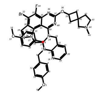 COc1ccc(CN(Cc2ccc(OC)cc2)c2ncccc2CN2CCn3ncc4c(Br)c(F)c5nc(OC6CC7(CCN(C)C7)C6)nc2c5c43)cc1